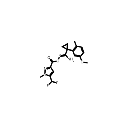 COc1ccc(C)c(C2(/C(N)=N/OC(=O)c3cc(C(F)F)n(C)n3)CC2)c1